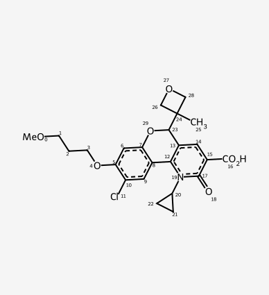 COCCCOc1cc2c(cc1Cl)-c1c(cc(C(=O)O)c(=O)n1C1CC1)C(C1(C)COC1)O2